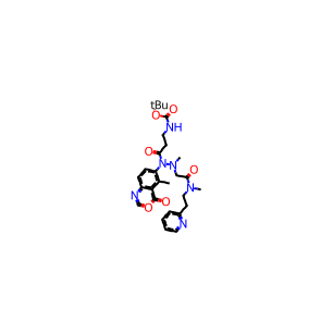 Cc1c(N(C(=O)CCNC(=O)OC(C)(C)C)N(C)CC(=O)N(C)CCc2ccccn2)ccc2ncoc(=O)c12